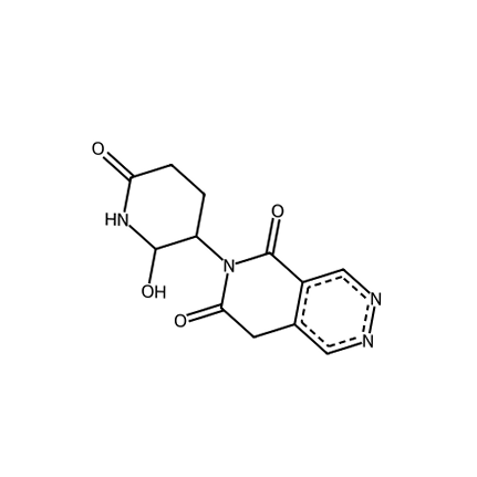 O=C1CCC(N2C(=O)Cc3cnncc3C2=O)C(O)N1